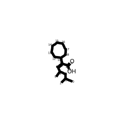 CC(C)CC(C)C=C(C(=O)O)C1CCCCCCC1